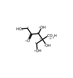 O=C(CO)C(O)C(O)(CO)C(=O)O